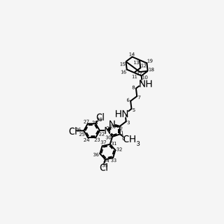 Cc1c(CNCCCCNC2C3CC4CC(C3)CC2C4)nn(-c2ccc(Cl)cc2Cl)c1-c1ccc(Cl)cc1